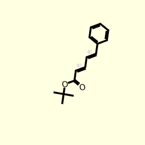 CC(C)(C)OC(=O)/C=C/C=C/c1ccccc1